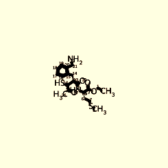 CCOC(=O)[C@H](CCSC)NC(=O)[C@H](Cc1ccccc1CN)C(S)C(C)=O